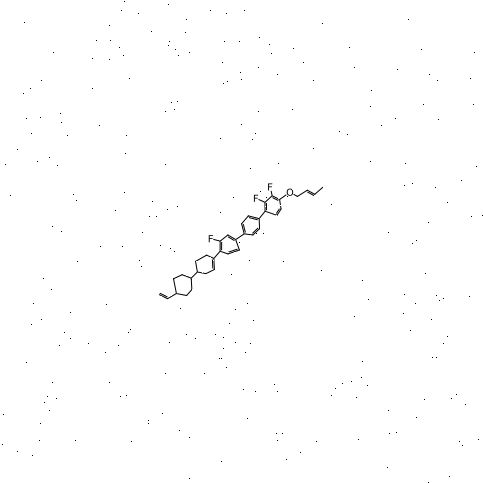 C=CC1CCC(C2CC=C(c3ccc(-c4ccc(-c5ccc(OC/C=C/C)c(F)c5F)cc4)cc3F)CC2)CC1